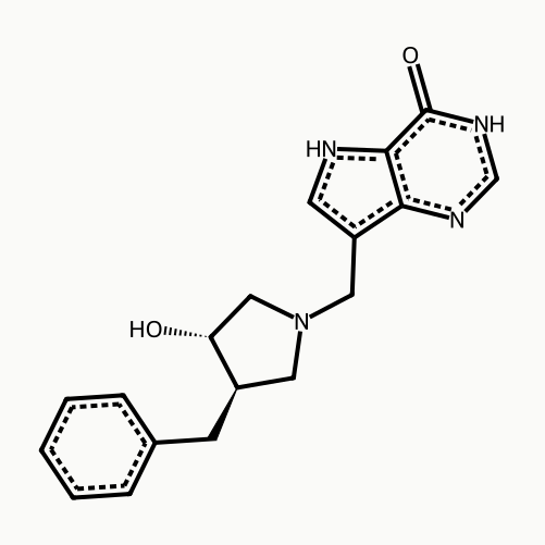 O=c1[nH]cnc2c(CN3C[C@@H](Cc4ccccc4)[C@H](O)C3)c[nH]c12